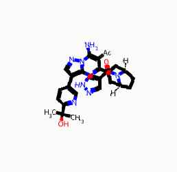 CC(=O)c1c(C2C[C@H]3CC[C@@H](C2)N3C(=O)c2cn[nH]c2)nc2c(-c3ccc(C(C)(C)O)nc3)cnn2c1N